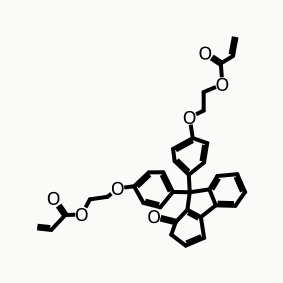 C=CC(=O)OCCOc1ccc(C2(c3ccc(OCCOC(=O)C=C)cc3)C3=C(C=CCC3=O)c3ccccc32)cc1